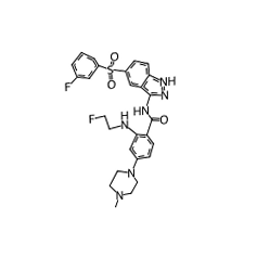 CN1CCN(c2ccc(C(=O)Nc3n[nH]c4ccc(S(=O)(=O)c5cccc(F)c5)cc34)c(NCCF)c2)CC1